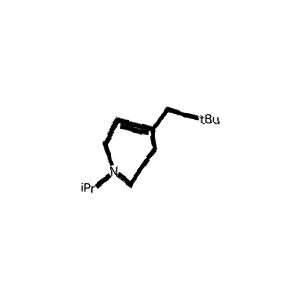 CC(C)N1CC=C(CC(C)(C)C)CC1